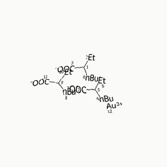 CCCCC(CC)C(=O)[O-].CCCCC(CC)C(=O)[O-].CCCCC(CC)C(=O)[O-].[Au+3]